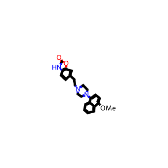 COc1ccc(N2CCN(CCc3ccc4[nH]c(=O)oc4c3)CC2)c2ccccc12